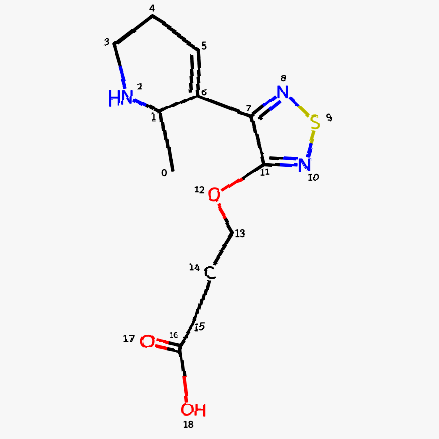 CC1NCCC=C1c1nsnc1OCCCC(=O)O